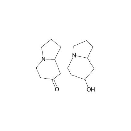 O=C1CCN2CCCC2C1.OC1CCN2CCCC2C1